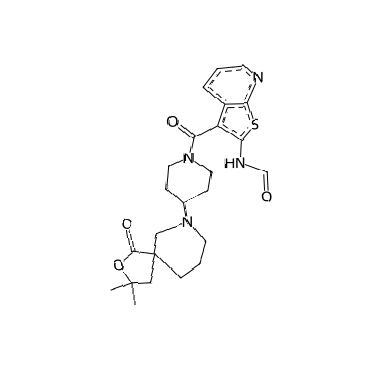 CC1(C)CC2(CCCN(C3CCN(C(=O)c4c(NC=O)sc5ncccc45)CC3)C2)C(=O)O1